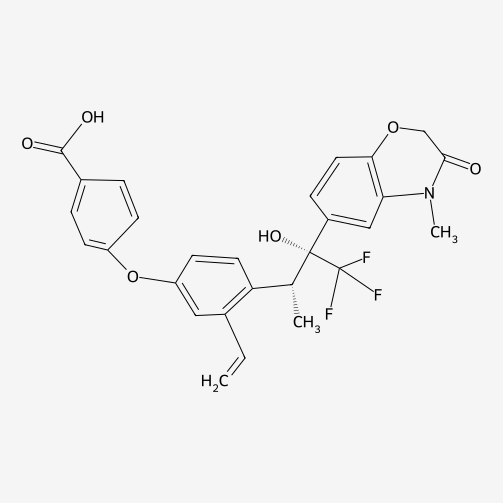 C=Cc1cc(Oc2ccc(C(=O)O)cc2)ccc1[C@@H](C)[C@@](O)(c1ccc2c(c1)N(C)C(=O)CO2)C(F)(F)F